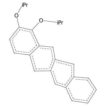 CC(C)Oc1ccc2cc3cc4ccccc4cc3cc2c1OC(C)C